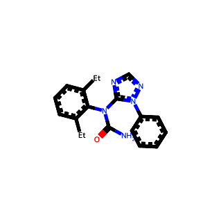 CCc1cccc(CC)c1N(C(N)=O)c1ncnn1-c1ccccc1